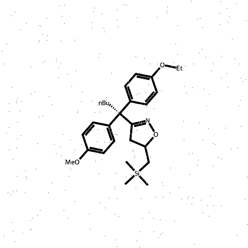 CCCC[C@](C1=NOC(C[Si](C)(C)C)C1)(c1ccc(OC)cc1)c1ccc(OCC)cc1